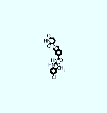 Cc1cc(Cl)ccc1NC(=O)NC(=O)c1ccc2c(c1)CN(C1CCC(=O)NC1=O)C2